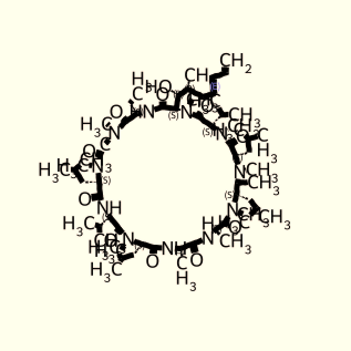 C=C/C=C/C[C@@H](C)[C@@H](O)[C@H]1C(=O)N[C@@H](CC)C(=O)N(C)CC(=O)N(C)[C@@H](CC(C)C)C(=O)N[C@@H](C(C)C)C(=O)N(C)[C@@H](CC(C)C)C(=O)N[C@@H](C)C(=O)N[C@H](C)C(=O)N(C)[C@@H](CC(C)C)C(C)N(C)[C@@H](CC(C)C)C(=O)N(C)[C@@H](C(C)C)C(=O)N1C